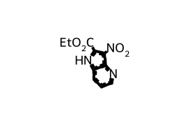 CCOC(=O)c1[nH]c2cccnc2c1[N+](=O)[O-]